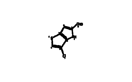 O=Cc1cc2scc(Cl)c2[nH]1